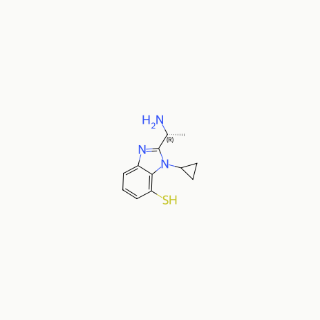 C[C@@H](N)c1nc2cccc(S)c2n1C1CC1